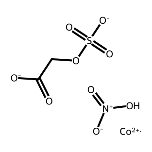 O=C([O-])COS(=O)(=O)[O-].O=[N+]([O-])O.[Co+2]